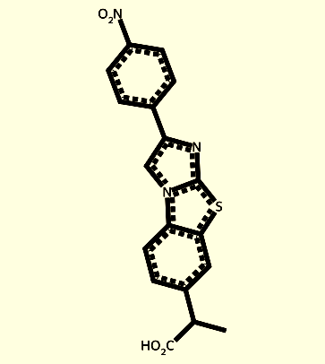 CC(C(=O)O)c1ccc2c(c1)sc1nc(-c3ccc([N+](=O)[O-])cc3)cn12